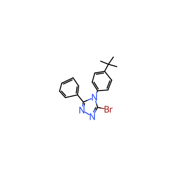 CC(C)(C)c1ccc(-n2c(Br)nnc2-c2ccccc2)cc1